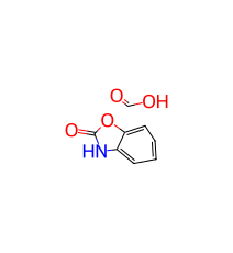 O=CO.O=c1[nH]c2ccccc2o1